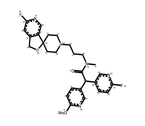 COc1ccc(C(C(=O)N(C)CCCN2CCC3(CC2)OCc2cc(F)ncc23)c2ccc(F)nc2)cn1